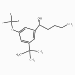 CC(C)(C)c1cc(OC(F)(F)F)cc([C@@H](O)CCCN)c1